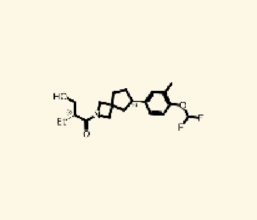 CC[C@H](CO)C(=O)N1CC2(CC[C@@H](c3ccc(OC(F)F)c(C)c3)C2)C1